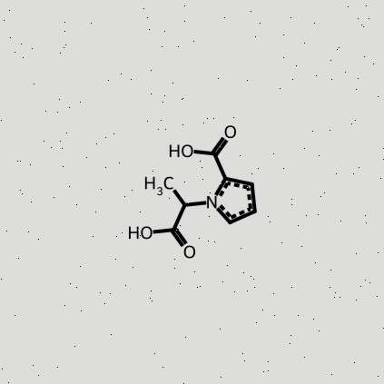 CC(C(=O)O)n1cccc1C(=O)O